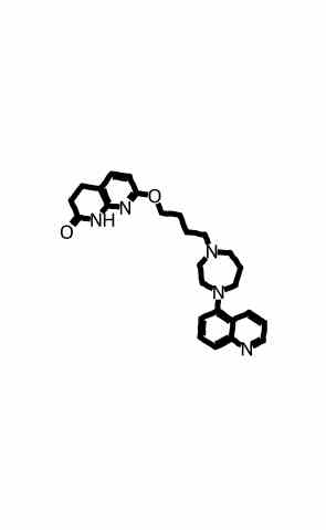 O=C1CCc2ccc(OCCCCN3CCCN(c4cccc5ncccc45)CC3)nc2N1